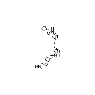 O=C(CC1=CCCC=C1)Nc1ccc(CCCCc2nnc(NC(=O)Cc3cccc(OC4CCNCC4)c3)s2)nn1